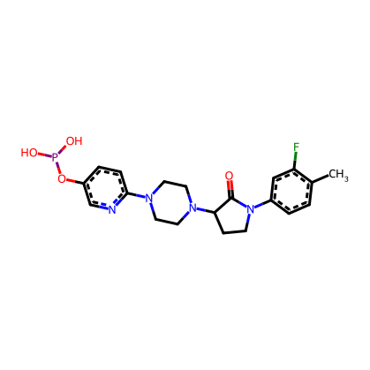 Cc1ccc(N2CCC(N3CCN(c4ccc(OP(O)O)cn4)CC3)C2=O)cc1F